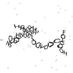 Cc1ncsc1-c1ccc(CNC(=O)[C@@H]2C[C@@H](O)CN2C(=O)C(NC(=O)CCCOC2CCN(CCOc3ccc(Oc4c(-c5ccc(F)cc5)sc5cc(O)ccc45)cc3)CC2)C(C)(C)C)cc1